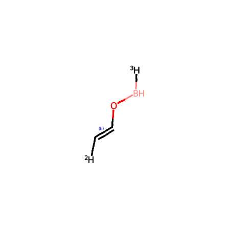 [2H]/C=C/OB[3H]